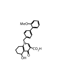 COc1ccccc1-c1ccc(Cn2cc(C(=O)O)c(=O)c3c2CCCC3O)cc1